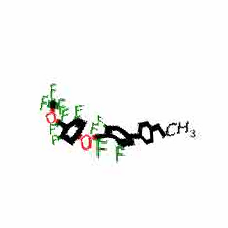 CCCC1CCC(c2cc(F)c(C(F)(F)Oc3cc(F)c(C(F)(F)OC(F)(F)F)c(F)c3)c(F)c2)CC1